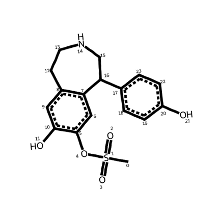 CS(=O)(=O)Oc1cc2c(cc1O)CCNCC2c1ccc(O)cc1